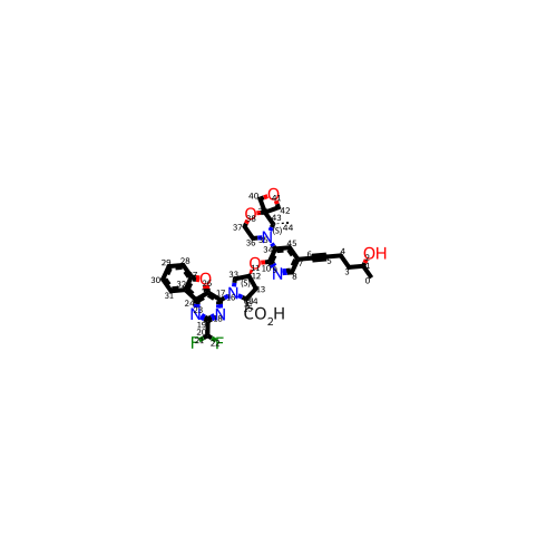 CC(O)CCC#Cc1cnc(O[C@H]2C[C@@H](C(=O)O)N(c3nc(C(F)F)nc4c3oc3ccccc34)C2)c(N2CCOC3(COC3)[C@@H]2C)c1